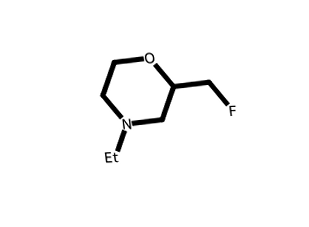 CCN1CCOC(CF)C1